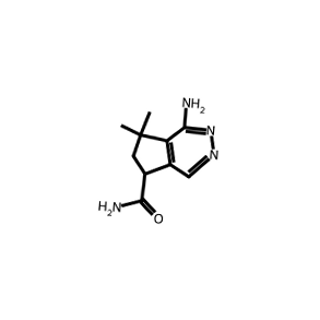 CC1(C)CC(C(N)=O)c2cnnc(N)c21